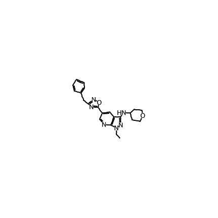 CCn1nc(NC2CCOCC2)c2cc(-c3nc(Cc4ccccc4)no3)cnc21